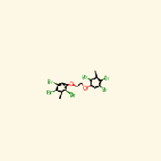 Cc1c(Br)c(Br)cc(OCCOc2cc(Br)c(Br)c(C)c2Br)c1Br